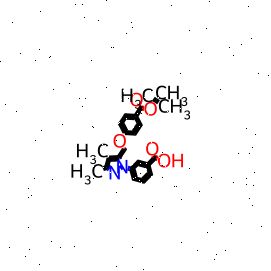 Cc1nn(-c2cccc(C(=O)O)c2)c(COc2ccc(C(=O)OC(C)(C)C)cc2)c1C